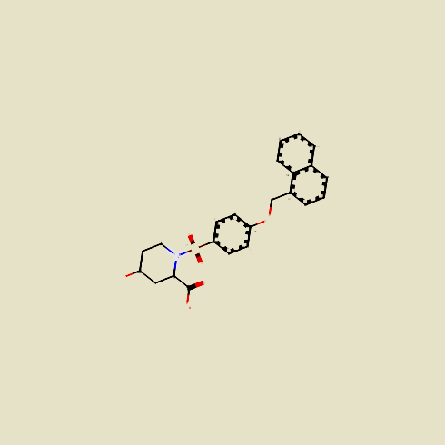 O=C(O)C1CC(O)CCN1S(=O)(=O)c1ccc(OCc2cccc3ccccc23)cc1